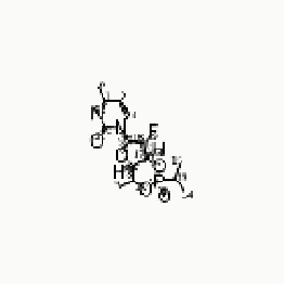 Cc1ccn([C@@H]2O[C@@H]3C(C)OP(=O)(C(C)C)O[C@H]3[C@H]2F)c(=O)n1